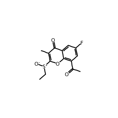 CC[S+]([O-])c1oc2c(C(C)=O)cc(F)cc2c(=O)c1C